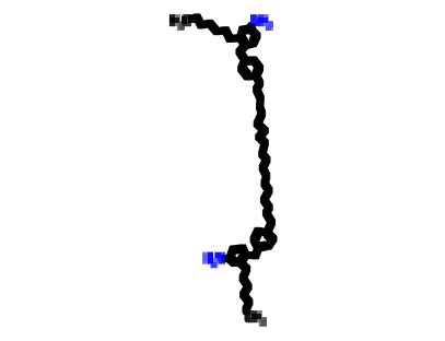 CCCCCCCc1cc(N)ccc1Cc1ccc(CCCCCCCCCCCCCCCCCCCc2ccc(Cc3ccc(N)cc3CCCCCCC)cc2)cc1